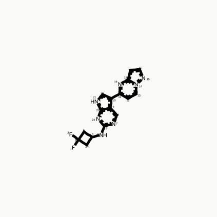 FC1(F)CC(Nc2ncc3c(-c4ccn5nccc5n4)c[nH]c3n2)C1